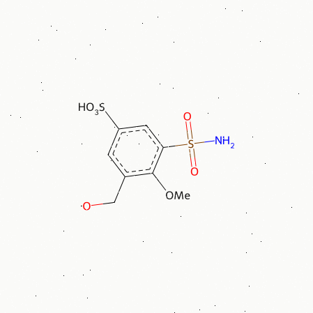 COc1c(C[O])cc(S(=O)(=O)O)cc1S(N)(=O)=O